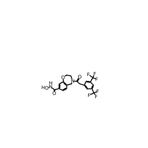 O=C(NO)c1ccc2c(c1)OCCN(C(=O)Cc1cc(C(F)(F)F)cc(C(F)(F)F)c1)C2